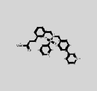 COC(=O)CCc1cccc(CN(Cc2ccc(-c3cccnc3)cc2)S(=O)(=O)c2cccnc2)c1